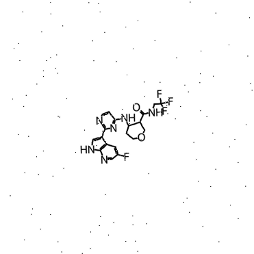 O=C(NCC(F)(F)F)C1COCCC1Nc1ccnc(-c2c[nH]c3ncc(F)cc23)n1